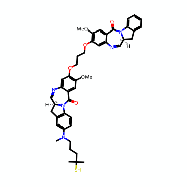 COc1cc2c(cc1OCCCOc1cc3c(cc1OC)C(=O)N1c4ccc(N(C)CCCC(C)(C)S)cc4C[C@H]1C=N3)N=C[C@@H]1Cc3ccccc3N1C2=O